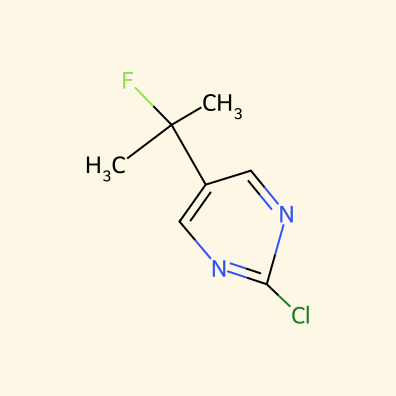 CC(C)(F)c1cnc(Cl)nc1